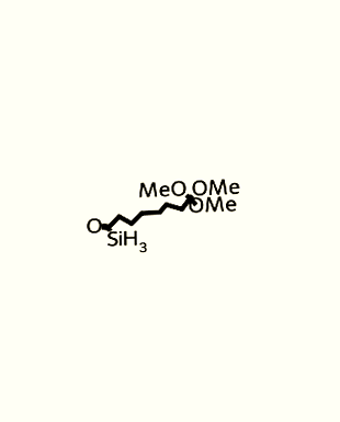 COC(CCCCCCC(=O)[SiH3])(OC)OC